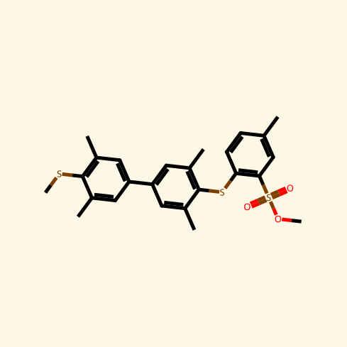 COS(=O)(=O)c1cc(C)ccc1Sc1c(C)cc(-c2cc(C)c(SC)c(C)c2)cc1C